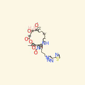 B[C@@]1(C(C)OC)CC[C@H](C)CCN[C@@H](C)[C@H]2N(CCCCn3cc(-c4nccs4)nn3)C(=O)O[C@]2(C)[C@@H](CC)OC(=O)[C@H](C)C(=O)[C@@H]1C